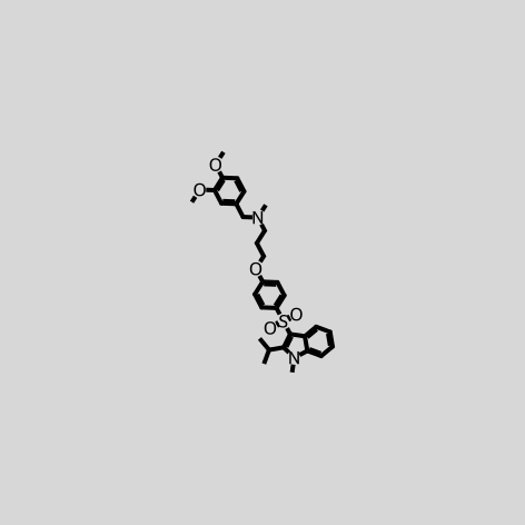 COc1ccc(CN(C)CCCOc2ccc(S(=O)(=O)c3c(C(C)C)n(C)c4ccccc34)cc2)cc1OC